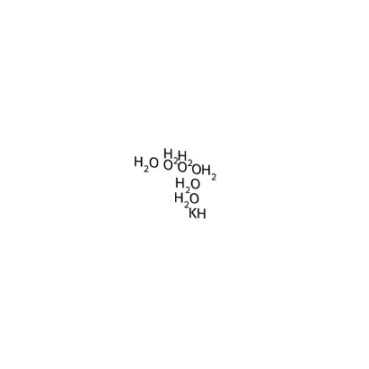 O.O.O.O.O.O.[KH]